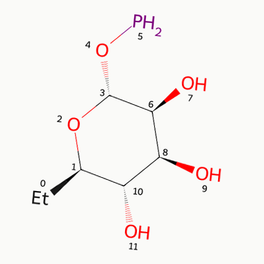 CC[C@H]1O[C@H](OP)[C@@H](O)[C@@H](O)[C@@H]1O